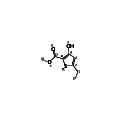 CCc1cc(O)c(C(=O)OC)s1